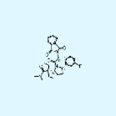 CCC(CC)(C(=O)N(C)C)[C@H]1CC[C@@H](c2cccc(F)c2)N1C(=O)[C@@H](C)N1C(=O)c2ccccc2C1=O